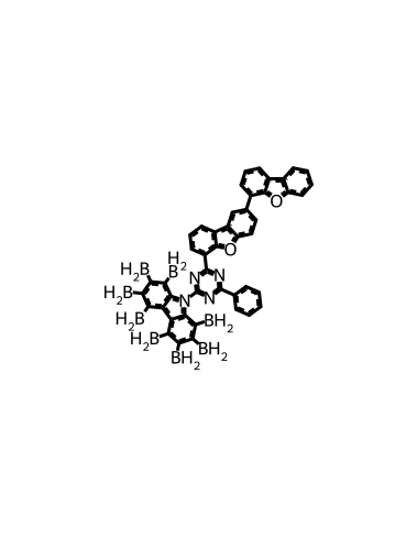 Bc1c(B)c(B)c2c(c1B)c1c(B)c(B)c(B)c(B)c1n2-c1nc(-c2ccccc2)nc(-c2cccc3c2oc2ccc(-c4cccc5c4oc4ccccc45)cc23)n1